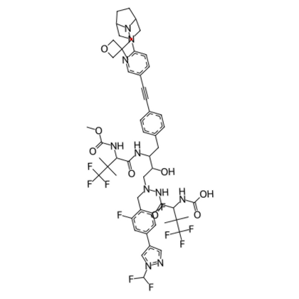 COC(=O)NC(C(=O)NC(Cc1ccc(C#Cc2ccc(N3CC4CCC(C3)N4CC3(C)COC3)nc2)cc1)C(O)CN(Cc1c(F)cc(-c2cnn(C(F)F)c2)cc1F)NC(=O)C(NC(=O)O)C(C)(C)C(F)(F)F)C(C)(C)C(F)(F)F